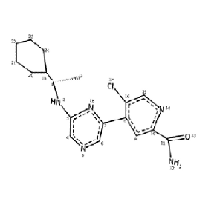 C[C@H](Nc1cncc(-c2cc(C(N)=O)ncc2Cl)n1)C1CCCCC1